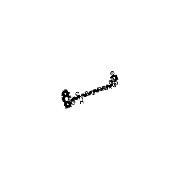 O=C1CCC(=O)N(OC(=O)CCOCCOCCOCCOCCNC(=O)CCC(=O)N2Cc3ccccc3/C=C\c3ccccc32)C1